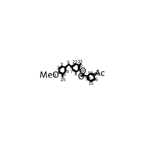 COc1ccc(Cc2ccc(OC(=O)c3cccc(C(C)=O)c3)c(C)c2)cc1C